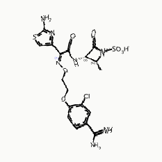 C[C@H]1[C@H](NC(=O)/C(=N\OCCOc2ccc(C(=N)N)cc2Cl)c2csc(N)n2)C(=O)N1S(=O)(=O)O